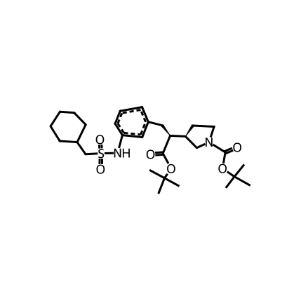 CC(C)(C)OC(=O)[C@@H](Cc1cccc(NS(=O)(=O)CC2CCCCC2)c1)[C@H]1CCN(C(=O)OC(C)(C)C)C1